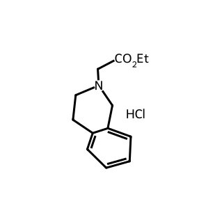 CCOC(=O)CN1CCc2ccccc2C1.Cl